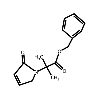 CC(C)(C(=O)OCc1ccccc1)N1CC=CC1=O